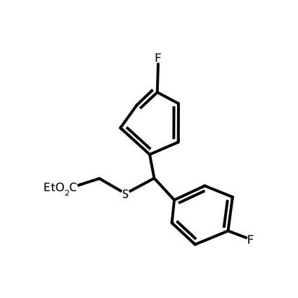 CCOC(=O)CSC(c1ccc(F)cc1)c1ccc(F)cc1